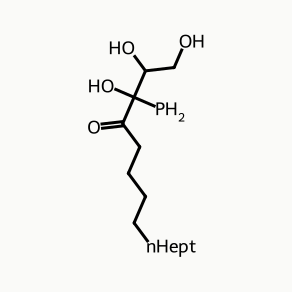 CCCCCCCCCCCC(=O)C(O)(P)C(O)CO